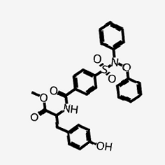 COC(=O)C(Cc1ccc(O)cc1)NC(=O)c1ccc(S(=O)(=O)N(Oc2ccccc2)c2ccccc2)cc1